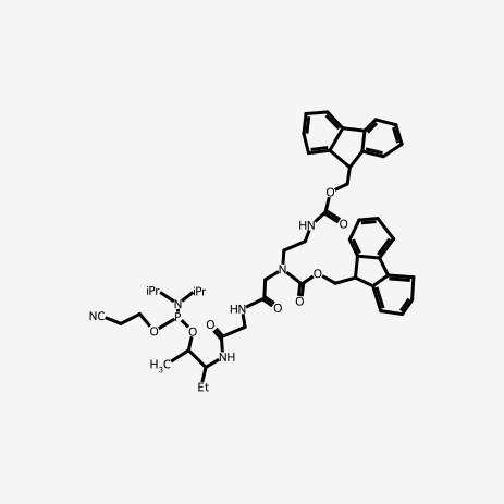 CCC(NC(=O)CNC(=O)CN(CCNC(=O)OCC1c2ccccc2-c2ccccc21)C(=O)OCC1c2ccccc2-c2ccccc21)C(C)OP(OCCC#N)N(C(C)C)C(C)C